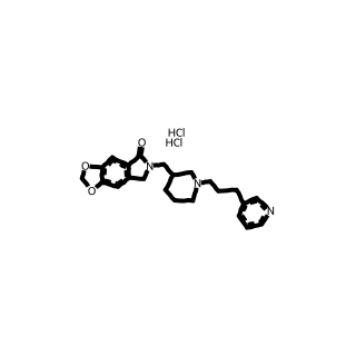 Cl.Cl.O=C1c2cc3c(cc2CN1CC1CCCN(CCCc2cccnc2)C1)OCO3